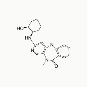 CN1C(=O)c2ccccc2N(C)c2cc(N[C@@H]3CCCC[C@@H]3O)ncc21